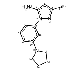 CC(C)c1cc(N)n(-c2cccc(N3CCCC3)c2)n1